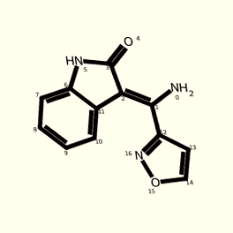 N/C(=C1\C(=O)Nc2ccccc21)c1ccon1